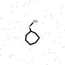 OSC1CCCCCC1